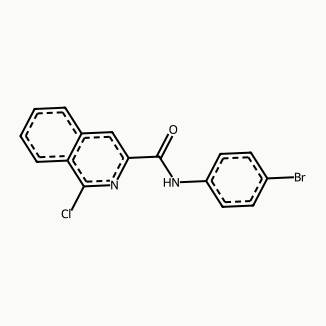 O=C(Nc1ccc(Br)cc1)c1cc2ccccc2c(Cl)n1